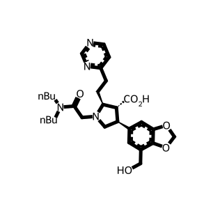 CCCCN(CCCC)C(=O)CN1C[C@H](c2cc(CO)c3c(c2)OCO3)[C@@H](C(=O)O)[C@@H]1CCc1ccncn1